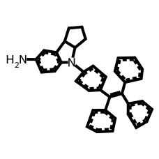 Nc1ccc2c(c1)C1CCCC1N2c1ccc(C(=C(c2ccccc2)c2ccccc2)c2ccccc2)cc1